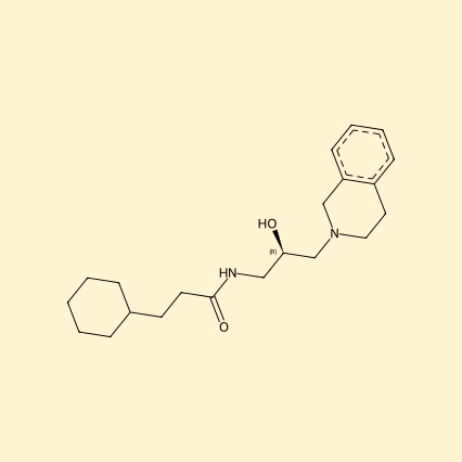 O=C(CCC1CCCCC1)NC[C@@H](O)CN1CCc2ccccc2C1